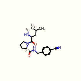 [3H]NC(CC(C)C)C(=O)N1CCC[C@H]1C(=O)NCc1ccc(C#N)cc1